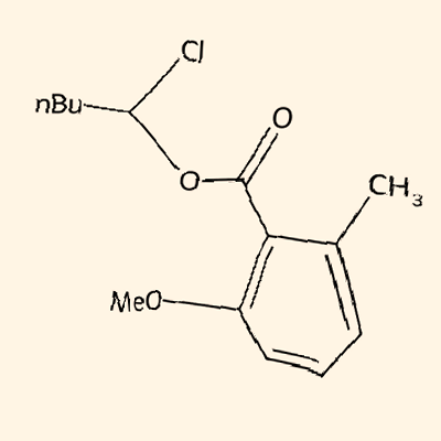 CCCCC(Cl)OC(=O)c1c(C)cccc1OC